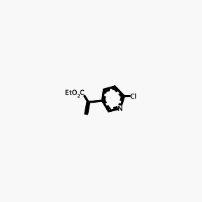 C=C(C(=O)OCC)c1ccc(Cl)nc1